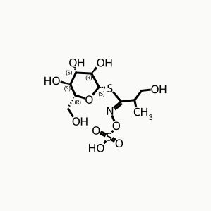 CC(CO)C(=NOS(=O)(=O)O)S[C@@H]1O[C@H](CO)[C@@H](O)[C@H](O)[C@H]1O